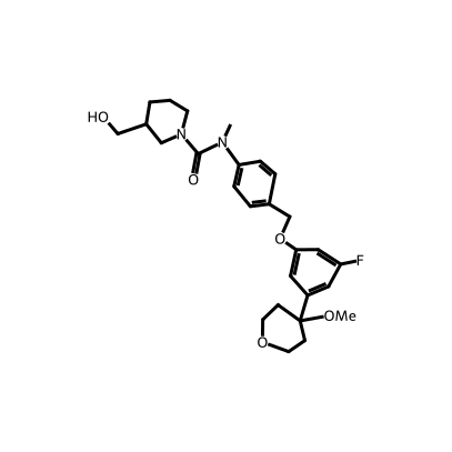 COC1(c2cc(F)cc(OCc3ccc(N(C)C(=O)N4CCCC(CO)C4)cc3)c2)CCOCC1